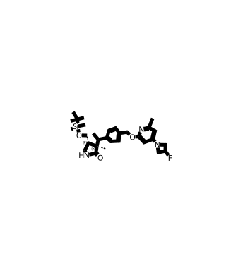 Cc1cc(N2CC(F)C2)cc(OCc2ccc(C(C)[C@@]3(C)C(=O)NC[C@@H]3CO[Si](C)(C)C(C)(C)C)cc2)n1